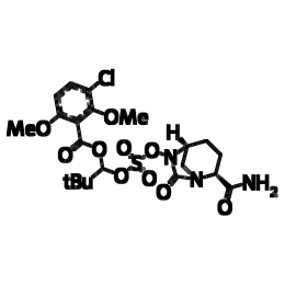 COc1ccc(Cl)c(OC)c1C(=O)OC(OS(=O)(=O)ON1C(=O)N2C[C@H]1CC[C@H]2C(N)=O)C(C)(C)C